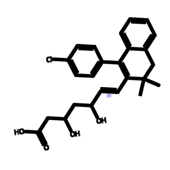 CC1(C)Cc2ccccc2C(c2ccc(Cl)cc2)=C1/C=C/C(O)CC(O)CC(=O)O